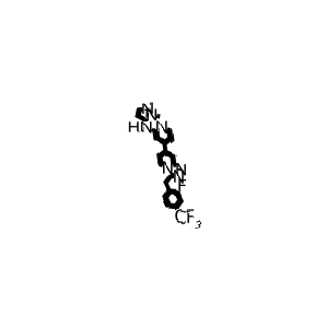 Cn1nccc1Nc1cc(-c2ccn3c(Cc4ccc(C(F)(F)F)cc4F)nnc3c2)ccn1